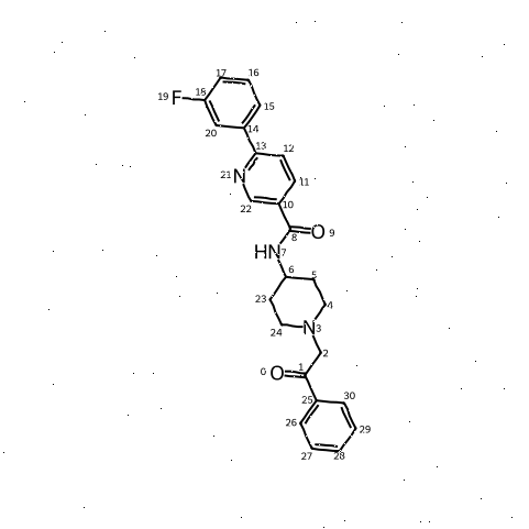 O=C(CN1CCC(NC(=O)c2ccc(-c3cccc(F)c3)nc2)CC1)c1ccccc1